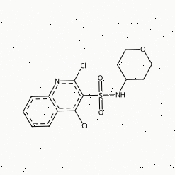 O=S(=O)(NC1CCOCC1)c1c(Cl)nc2ccccc2c1Cl